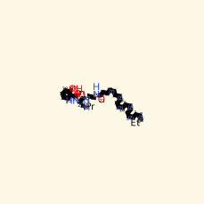 CC/C=C\C/C=C\C/C=C\C/C=C\C/C=C\C/C=C\CCC(=O)NCCNC(=O)[C@H](CC(C)C)NC(=O)c1ccccc1O